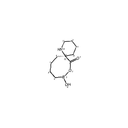 O=C1OB(O)CCCC[C@]12CCCCN2